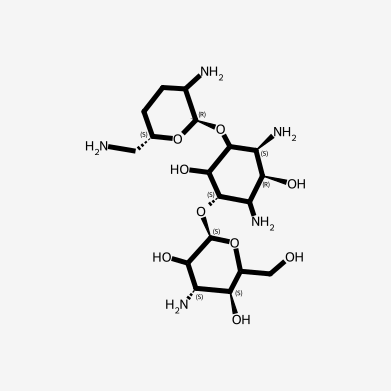 NC[C@@H]1CCC(N)[C@@H](OC2C(O)[C@@H](O[C@H]3OC(CO)[C@@H](O)[C@H](N)C3O)C(N)[C@H](O)[C@@H]2N)O1